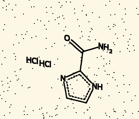 Cl.Cl.NC(=O)c1ncc[nH]1